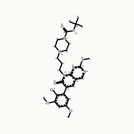 COc1cc(OC)c(Cl)c(-c2cc3cnc(SC)nc3n(CCCN3CCN(C(=O)OC(C)(C)C)CC3)c2=O)c1